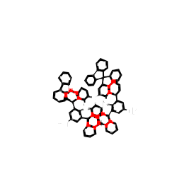 CC(C)(C)c1cc(-c2ccccc2)c(N2c3cc(-n4c5ccccc5c5ccccc54)ccc3B3c4cc5c(cc4N(c4c(-c6ccccc6)cc(C(C)(C)C)cc4-c4ccccc4)c4cc(N(c6ccccc6)c6ccccc6)cc2c43)-c2ccccc2C52c3ccccc3-c3ccccc32)c(-c2ccccc2)c1